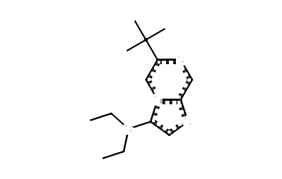 CCN(CC)c1cnc2cnc(C(C)(C)C)cn12